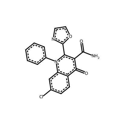 NC(=O)c1c(-c2ncco2)n(-c2ccccc2)c2cc(Cl)ccc2c1=O